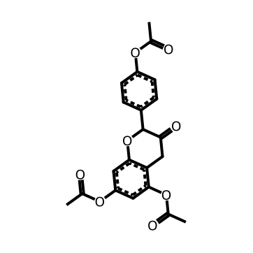 CC(=O)Oc1ccc(C2Oc3cc(OC(C)=O)cc(OC(C)=O)c3CC2=O)cc1